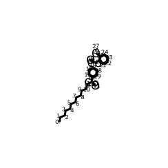 CCCCCCCCCCC[CH2][Co](=[O])[c]1cc[c]([Co](=[O])[c]2ccccc2OC)cc1